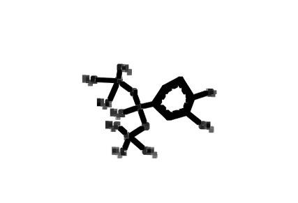 Cc1cc([Si](C)(O[Si](C)(C)C)O[Si](C)(C)C)ccc1C(C)C